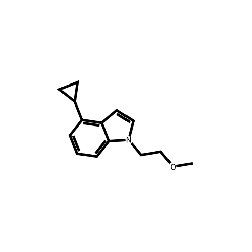 COCCn1ccc2c(C3CC3)cccc21